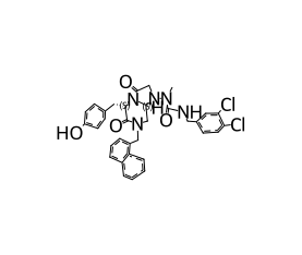 CN(C(=O)NCc1ccc(Cl)c(Cl)c1)N1CC(=O)N2[C@@H](Cc3ccc(O)cc3)C(=O)N(Cc3cccc4ccccc34)C[C@@H]21